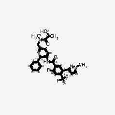 CC(O)C(=O)N(C)Cc1ccc(NC(=O)c2cc(-c3ccn(C)n3)c(C(F)(F)F)cc2F)c(-c2ccccc2)n1